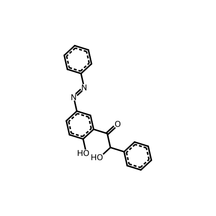 O=C(c1cc(N=Nc2ccccc2)ccc1O)C(O)c1ccccc1